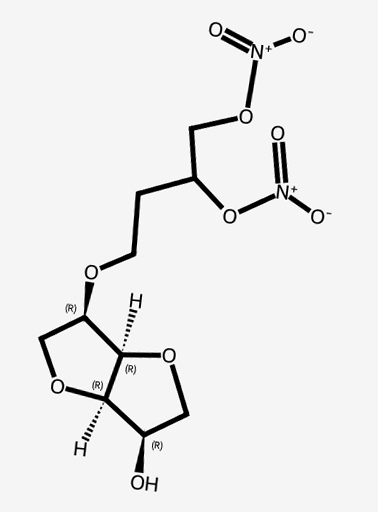 O=[N+]([O-])OCC(CCO[C@@H]1CO[C@H]2[C@@H]1OC[C@H]2O)O[N+](=O)[O-]